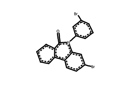 O=c1c2ccccc2c2ccc(Br)cc2n1-c1cccc(Br)c1